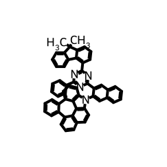 CC1(C)c2ccccc2-c2c(-c3nc(-c4ccccc4)nc(-c4cc5ccccc5cc4-n4c5cccc6c5c5c7c(cccc7ccc54)-c4ccccc4-6)n3)cccc21